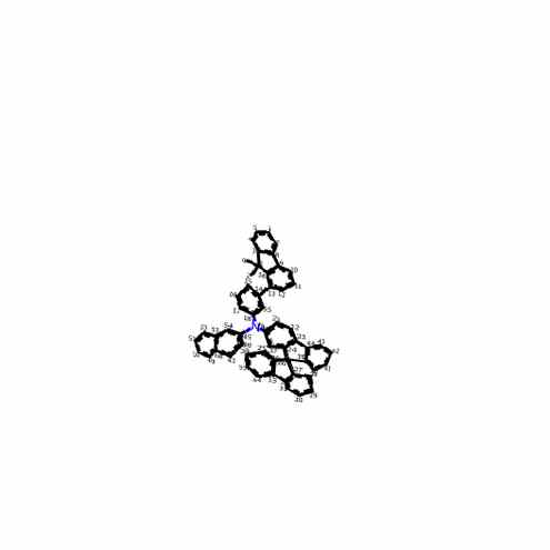 CC1(C)c2ccccc2-c2cccc(-c3cccc(N(c4ccc5c(c4)C4(c6ccccc6-c6ccccc64)c4ccccc4-5)c4ccc5ccccc5c4)c3)c21